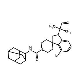 CC(C)(C=O)C1CC2(CCN(C(=O)NC3C4CC5CC(C4)CC3C5)CC2)c2c(Br)cccc21